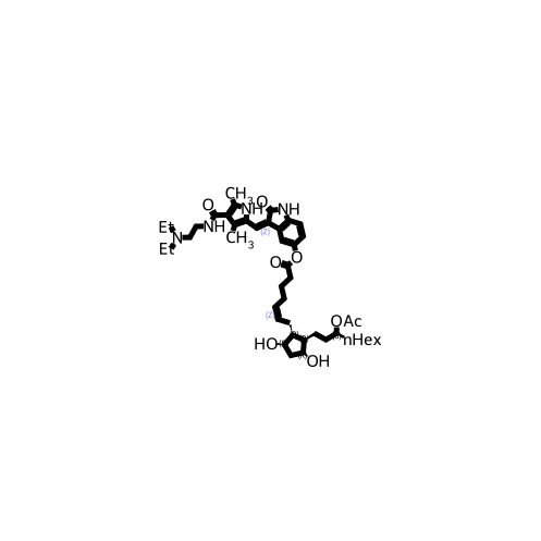 CCCCCC[C@@H](CC[C@@H]1[C@@H](C/C=C\CCCC(=O)Oc2ccc3c(c2)/C(=C/c2[nH]c(C)c(C(=O)NCCN(CC)CC)c2C)C(=O)N3)[C@@H](O)C[C@H]1O)OC(C)=O